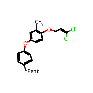 CCCCCc1ccc(Oc2ccc(OCC=C(Cl)Cl)c(C(F)(F)F)c2)cc1